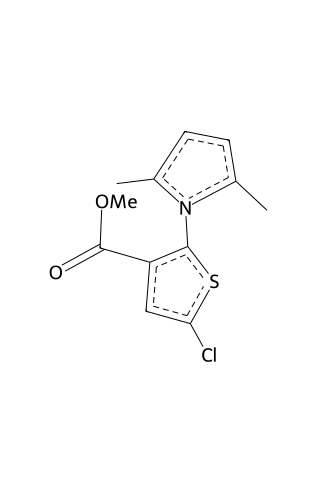 COC(=O)c1cc(Cl)sc1-n1c(C)ccc1C